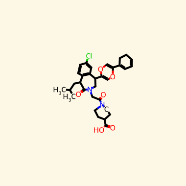 CC(C)CC1C(=O)N(CC(=O)N2CCC(C(=O)O)CC2)CC(C2=COC(C3=CC=CCC3)=CO2)c2cc(Cl)ccc21